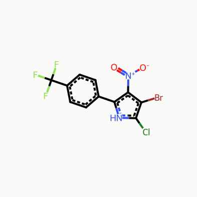 O=[N+]([O-])c1c(-c2ccc(C(F)(F)F)cc2)[nH]c(Cl)c1Br